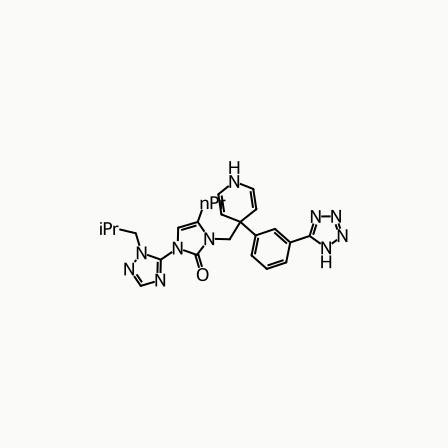 CCCc1cn(-c2ncnn2CC(C)C)c(=O)n1CC1(c2cccc(-c3nnn[nH]3)c2)C=CNC=C1